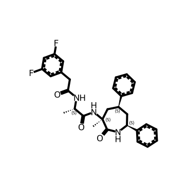 C[C@H](NC(=O)Cc1cc(F)cc(F)c1)C(=O)N[C@@]1(C)C[C@@H](c2ccccc2)C[C@@H](c2ccccc2)NC1=O